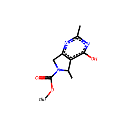 Cc1nc(O)c2c(n1)CN(C(=O)OC(C)(C)C)C2C